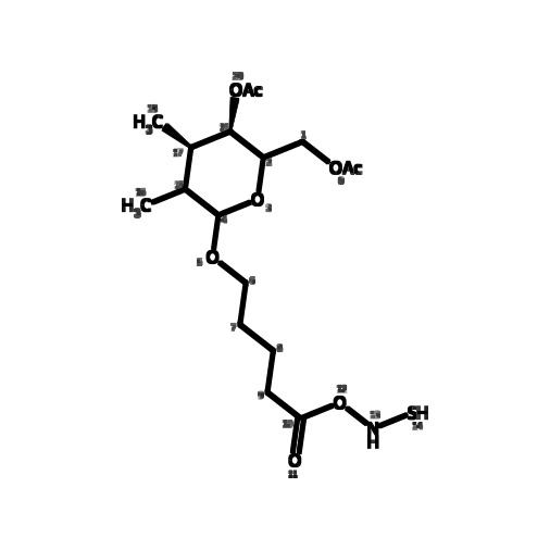 CC(=O)OCC1OC(OCCCCC(=O)ONS)C(C)[C@@H](C)[C@H]1OC(C)=O